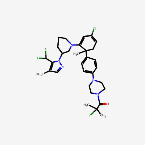 CC(C)(F)C(=O)N1CCN(c2ccc(C3(C)CC=C(Cl)C=C3N3CCCC(n4ncc(C(=O)O)c4C(F)F)C3)cc2)CC1